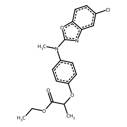 CCOC(=O)C(C)Oc1ccc(N(C)c2nc3cc(Cl)ccc3o2)cc1